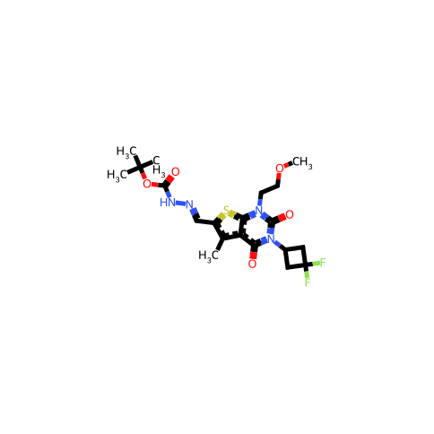 COCCn1c(=O)n(C2CC(F)(F)C2)c(=O)c2c(C)c(/C=N/NC(=O)OC(C)(C)C)sc21